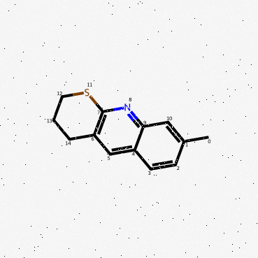 Cc1ccc2cc3c(nc2c1)SCCC3